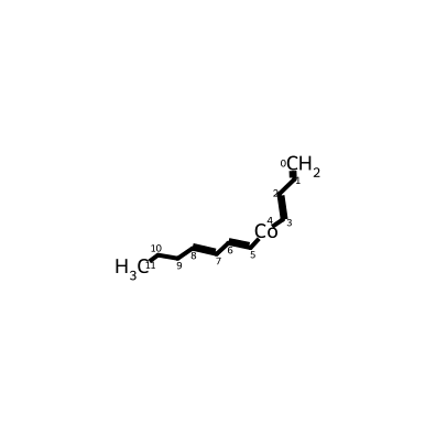 C=CC=[CH][Co][CH]=CC=CCCC